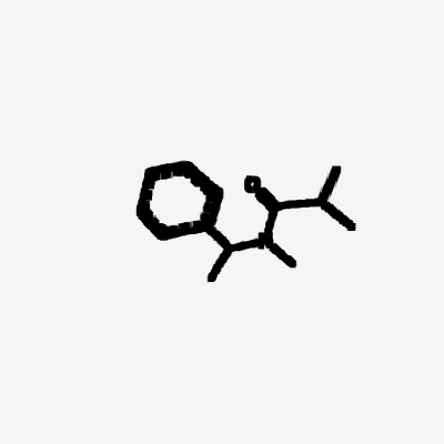 CC(C)C(=O)N(C)C(C)c1ccccc1